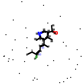 CC/C(F)=C\C=C(/C)c1c(C)ncc(C(C)=O)c1C